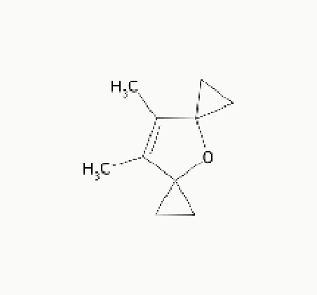 CC1=C(C)C2(CC2)OC12CC2